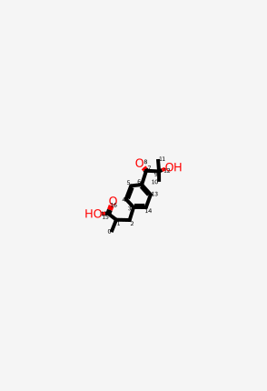 CC(Cc1ccc(C(=O)C(C)(C)O)cc1)C(=O)O